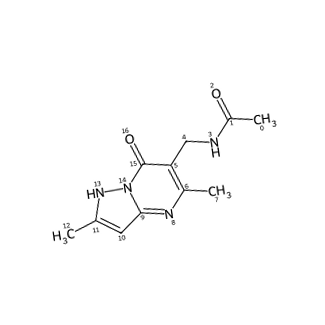 CC(=O)NCc1c(C)nc2cc(C)[nH]n2c1=O